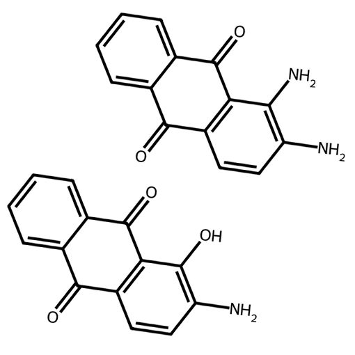 Nc1ccc2c(c1N)C(=O)c1ccccc1C2=O.Nc1ccc2c(c1O)C(=O)c1ccccc1C2=O